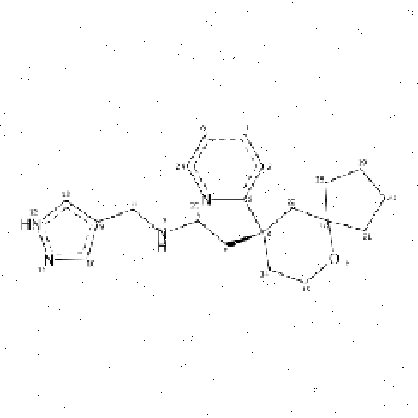 c1ccc([C@@]2(CCNCc3cn[nH]c3)CCOC3(CCCC3)C2)nc1